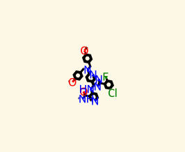 CNC(=O)c1cnccc1Nc1nc(-c2cc(Cl)ccc2F)nc2nc(N(Cc3ccc(OC)cc3)Cc3ccc(OC)cc3)ccc12